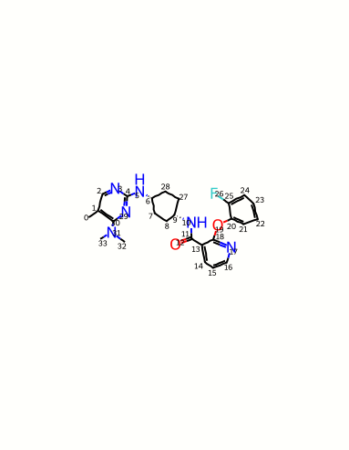 Cc1cnc(N[C@H]2CC[C@@H](NC(=O)c3cccnc3Oc3ccccc3F)CC2)nc1N(C)C